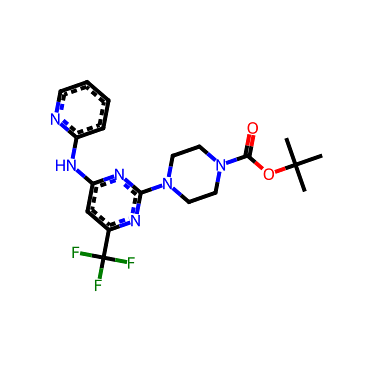 CC(C)(C)OC(=O)N1CCN(c2nc(Nc3ccccn3)cc(C(F)(F)F)n2)CC1